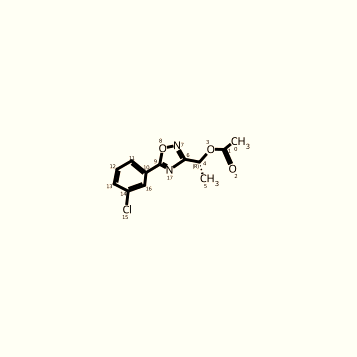 CC(=O)O[C@H](C)c1noc(-c2cccc(Cl)c2)n1